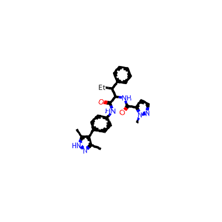 CCC(c1ccccc1)C(NC(=O)c1ccnn1C)C(=O)Nc1ccc(-c2c(C)n[nH]c2C)cc1